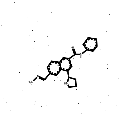 NN=Cc1ccc2cc(C(=O)Nc3ccccc3)cc(C3CCCN3)c2c1